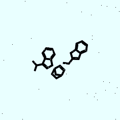 C1=CC2CCC1C2.CC(C)C1=CCc2ccccc21.CCC1=Cc2ccccc2C1